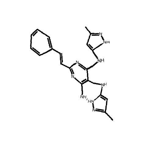 Cc1cc(Nc2nc(/C=C/c3ccccc3)nc(N)c2Nc2cc(C)n[nH]2)[nH]n1